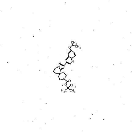 CC(C)Oc1ccc2ncc(-c3cc4n(n3)CCCC43CCN(C(=O)OC(C)(C)C)CC3)cc2c1